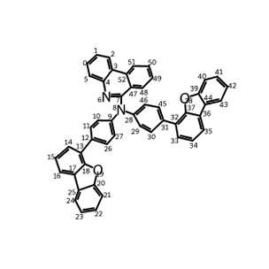 c1ccc2c(c1)nc(N(c1ccc(-c3cccc4c3oc3ccccc34)cc1)c1ccc(-c3cccc4c3oc3ccccc34)cc1)c1ccccc12